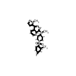 CN(c1nnc(-c2ccnn2C)c2cccnc12)C1CCN(S(=O)(=O)c2ccc(F)cc2C(F)(F)F)CC1